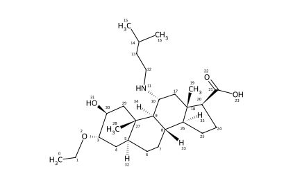 CCO[C@H]1C[C@@H]2CC[C@@H]3[C@H]([C@H](NCCC(C)C)C[C@]4(C)[C@@H](C(=O)O)CC[C@@H]34)[C@@]2(C)C[C@@H]1O